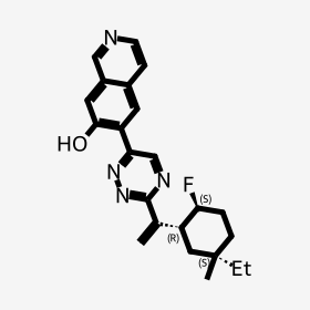 C=C(c1ncc(-c2cc3ccncc3cc2O)nn1)[C@H]1C[C@@](C)(CC)CC[C@@H]1F